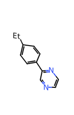 CCc1ccc(-c2cnccn2)cc1